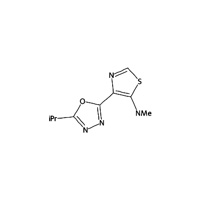 CNc1scnc1-c1nnc(C(C)C)o1